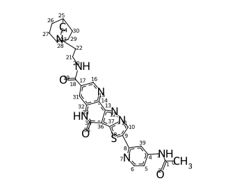 CC(=O)Nc1ccnc(-c2cn3nc4c5ncc(C(=O)NCCN6CC7CCC6CC7)cc5[nH]c(=O)c4c3s2)c1